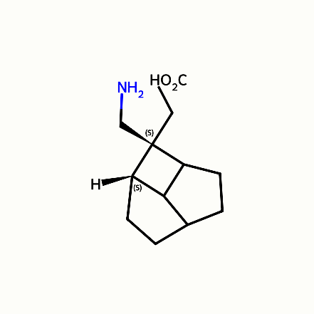 NC[C@@]1(CC(=O)O)C2CCC3CC[C@H]1C32